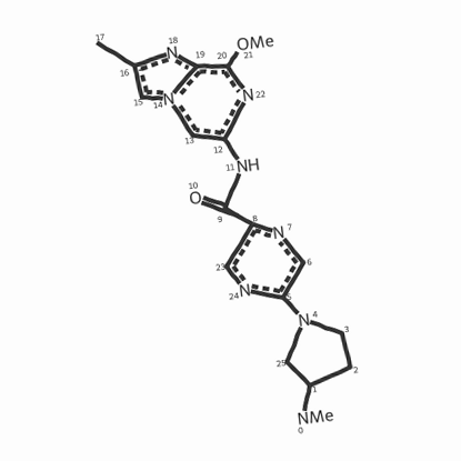 CNC1CCN(c2cnc(C(=O)Nc3cn4cc(C)nc4c(OC)n3)cn2)C1